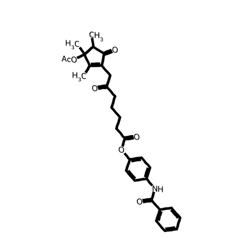 CC(=O)OC1(C)C(C)=C(CC(=O)CCCCC(=O)Oc2ccc(NC(=O)c3ccccc3)cc2)C(=O)C1C